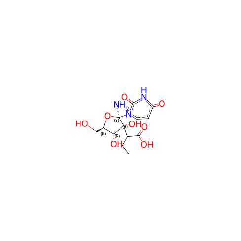 CCC(C(=O)O)[C@@]1(O)[C@H](O)[C@@H](CO)O[C@@]1(N)n1ccc(=O)[nH]c1=O